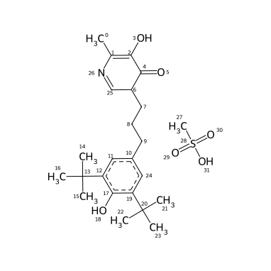 CC1=C(O)C(=O)C(CCCc2cc(C(C)(C)C)c(O)c(C(C)(C)C)c2)C=N1.CS(=O)(=O)O